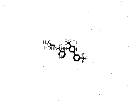 C=C(C)c1cnc(-c2cccc(C(F)(F)F)c2)cc1Nc1ccncc1C(=O)NCC(C)O